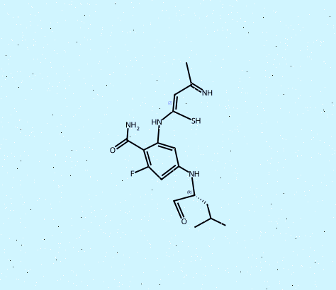 CC(=N)/C=C(\S)Nc1cc(N[C@@H](C=O)CC(C)C)cc(F)c1C(N)=O